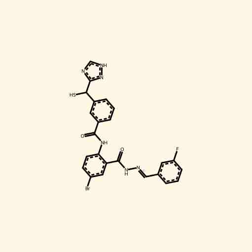 O=C(Nc1ccc(Br)cc1C(=O)N/N=C/c1cccc(F)c1)c1cccc(C(S)c2nc[nH]n2)c1